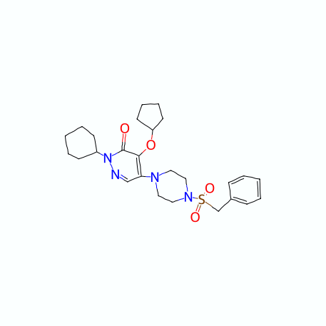 O=c1c(OC2CCCC2)c(N2CCN(S(=O)(=O)Cc3ccccc3)CC2)cnn1C1CCCCC1